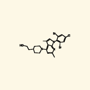 Cc1cc(N2CCC(CCO)CC2)c2c(C)cn(-c3c(Br)cc(Cl)cc3Br)c2n1